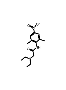 CCN(CC)CC(=O)Nc1c(C)cc([N+](=O)[O-])cc1C